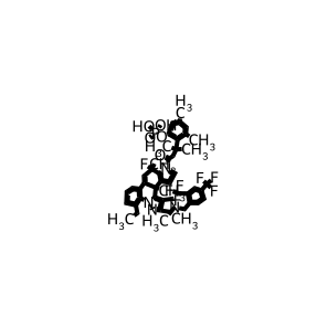 CCc1cccc2c1-n1nc3c(c1C1(C)C2=CC(C)(F)c2c1ccn2C(=O)CC(C)(C)c1c(C)cc(C)cc1OP(=O)(O)O)CN(Cc1ccc(C(F)(F)F)cc1C(F)(F)F)C3(C)C